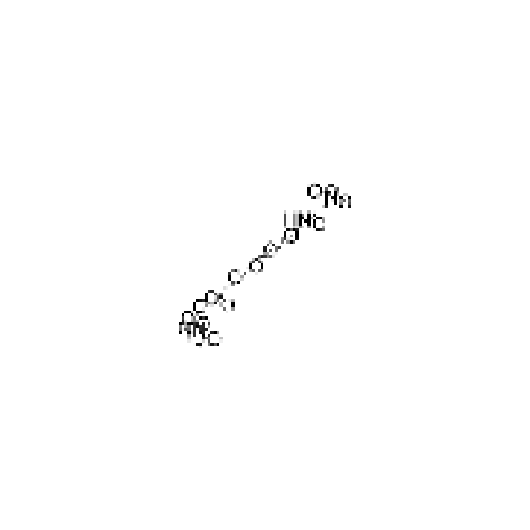 O=C(CCN1C(=O)C=CC1=O)NCCOCCOCCOCCOCCC(=O)OCOC(=O)ON1C(=O)CCC1=O